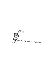 CCCCCCCCCCCCCCCCCCNC(=O)N1CCCCC1CCOC(=O)NCCN